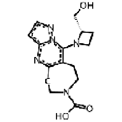 O=C(O)N1CCc2nc3ccnn3c(N3CC[C@H]3CO)c2CC1